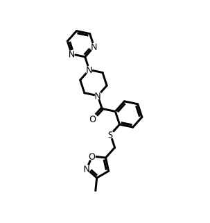 Cc1cc(CSc2ccccc2C(=O)N2CCN(c3ncccn3)CC2)on1